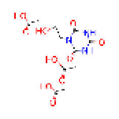 CC(=O)O.CC(=O)O.CC(=O)O.O=c1[nH]c(=O)n(CCO)c(=O)[nH]1